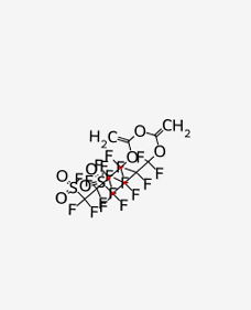 C=C(OC(=C)OC(F)(F)C(F)(F)C(F)(F)C(F)(F)S(=O)(=O)F)OC(F)(F)C(F)(F)C(F)(F)C(F)(F)S(=O)(=O)F